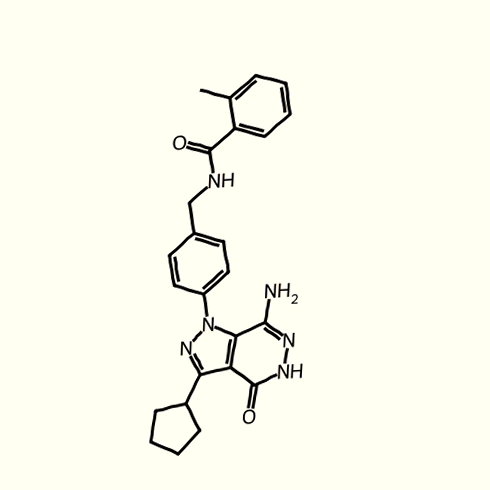 Cc1ccccc1C(=O)NCc1ccc(-n2nc(C3CCCC3)c3c(=O)[nH]nc(N)c32)cc1